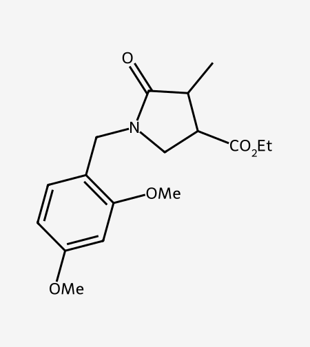 CCOC(=O)C1CN(Cc2ccc(OC)cc2OC)C(=O)C1C